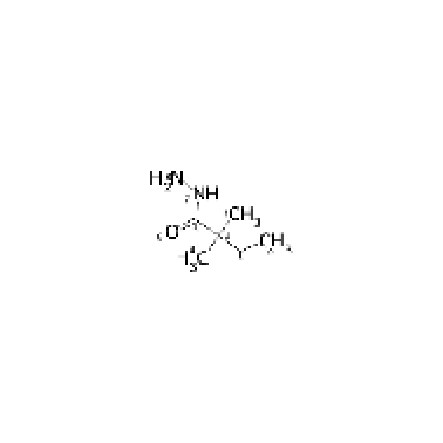 CCC(C)(C)C(=O)NN